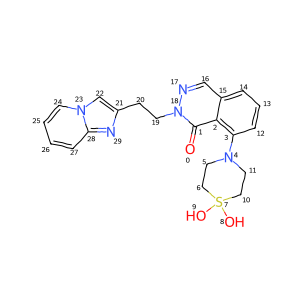 O=c1c2c(N3CCS(O)(O)CC3)cccc2cnn1CCc1cn2ccccc2n1